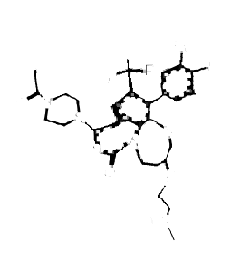 CNCCOC1CSc2c(-c3ccc(F)c(Cl)c3)c(C(F)(F)F)cc3c(N4CCN(C(C)=O)CC4)nc(=O)n(c23)C1